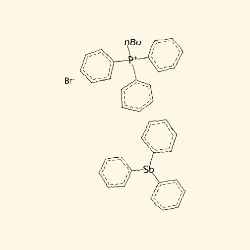 CCCC[P+](c1ccccc1)(c1ccccc1)c1ccccc1.[Br-].c1cc[c]([Sb]([c]2ccccc2)[c]2ccccc2)cc1